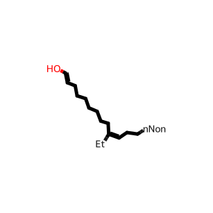 CCCCCCCCCCCC=C(CC)CCCCCCCC=CO